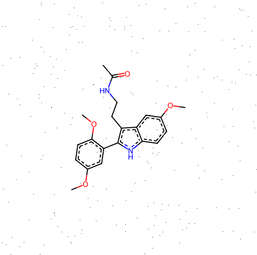 COc1ccc(OC)c(-c2[nH]c3ccc(OC)cc3c2CCNC(C)=O)c1